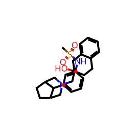 CS(=O)(=O)Nc1cccc(C2C3CCC2CN(CC2(O)CCc4ccccc4C2)C3)c1